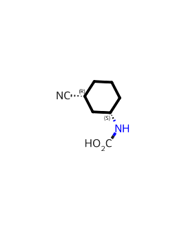 N#C[C@@H]1CCC[C@H](NC(=O)O)C1